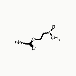 CCCC(=O)OCCN(C)CC